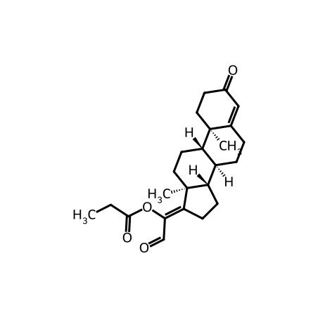 CCC(=O)O/C(C=O)=C1/CC[C@H]2[C@@H]3CCC4=CC(=O)CC[C@]4(C)[C@H]3CC[C@]12C